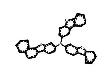 c1ccc2c(c1)ccc1c3ccc(N(c4ccc5c(c4)sc4ccccc45)c4ccc5oc6ccccc6c5c4)cc3sc21